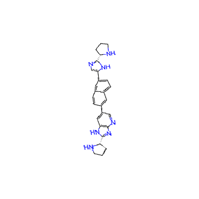 c1cc2cc(-c3cnc([C@@H]4CCCN4)[nH]3)ccc2cc1-c1cnc2nc([C@@H]3CCCN3)[nH]c2c1